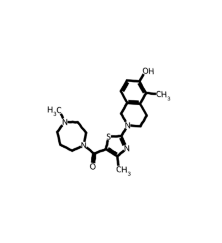 Cc1nc(N2CCc3c(ccc(O)c3C)C2)sc1C(=O)N1CCCN(C)CC1